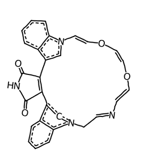 O=C1NC(=O)C2=C1c1cn(c3ccccc13)/C=C/O/C=C\O/C=C/N=C/Cn1cc2c2ccccc21